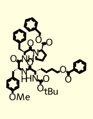 COc1ccc(C[C@@H](NC(=O)[C@H](CCCCOC(=O)c2ccccc2)NC(=O)OC(C)(C)C)C(=O)N[C@@H](Cc2ccccc2)C(=O)N2CCC[C@@H]2C(=O)OCc2ccccc2)cc1